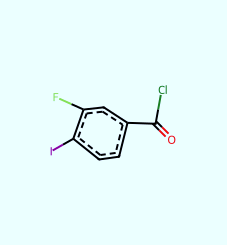 O=C(Cl)c1ccc(I)c(F)c1